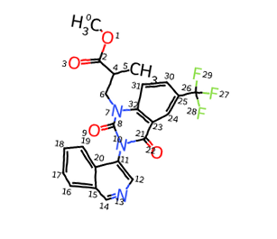 COC(=O)C(C)Cn1c(=O)n(-c2cncc3ccccc23)c(=O)c2cc(C(F)(F)F)ccc21